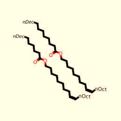 CCCCCCCC/C=C\CCCCCCCCOC(=O)CCCCCCCCCCCCCCC.CCCCCCCC/C=C\CCCCCCCCOC(=O)CCCCCCCCCCCCCCCCC